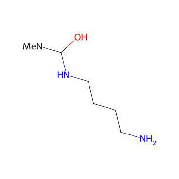 CNC(O)NCCCCN